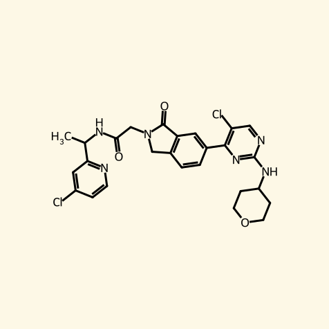 CC(NC(=O)CN1Cc2ccc(-c3nc(NC4CCOCC4)ncc3Cl)cc2C1=O)c1cc(Cl)ccn1